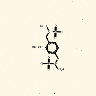 O=S(=O)(O)[O+](Cc1ccc(C[O+](S(=O)(=O)O)S(=O)(=O)Cl)cc1)S(=O)(=O)Cl.[OH-].[OH-]